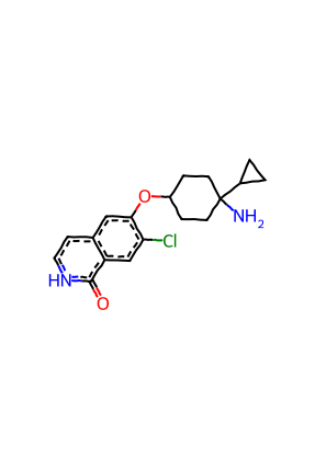 NC1(C2CC2)CCC(Oc2cc3cc[nH]c(=O)c3cc2Cl)CC1